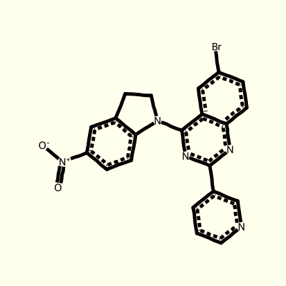 O=[N+]([O-])c1ccc2c(c1)CCN2c1nc(-c2cccnc2)nc2ccc(Br)cc12